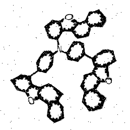 c1ccc2c(c1)ccc1c2oc2cccc(-c3ccc(N(c4ccc(-c5cccc6oc7c8ccccc8ccc7c56)cc4)c4cccc5oc6c7ccccc7ccc6c45)cc3)c21